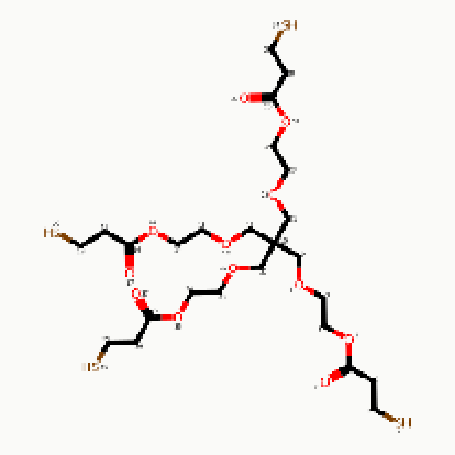 O=C(CCS)OCCOCC(COCCOC(=O)CCS)(COCCOC(=O)CCS)COCCOC(=O)CCS